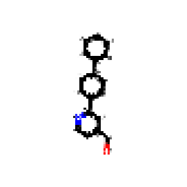 O=Cc1ccnc(-c2ccc(-c3ccccc3)cc2)c1